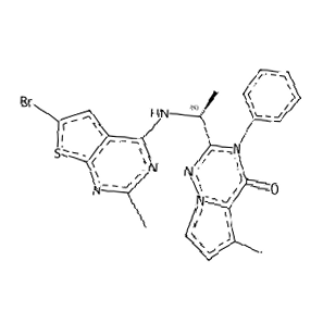 Cc1nc(N[C@@H](C)c2nn3ccc(C)c3c(=O)n2-c2ccccc2)c2cc(Br)sc2n1